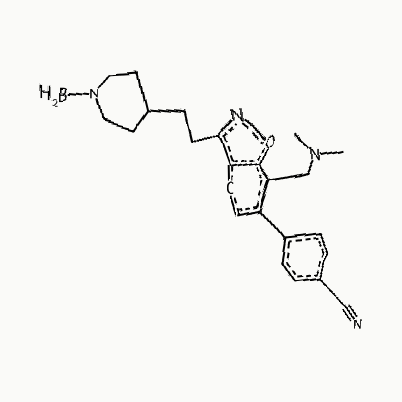 BN1CCC(CCc2noc3c(CN(C)C)c(-c4ccc(C#N)cc4)ccc23)CC1